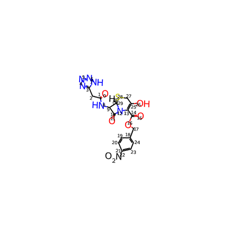 O=C(Cc1nnn[nH]1)NC1C(=O)N2C(C(=O)OCc3ccc([N+](=O)[O-])cc3)=C(O)CS[C@@H]12